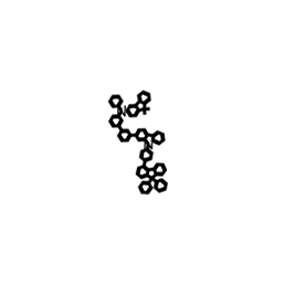 CC1(C)c2ccccc2-c2cc(N(c3ccccc3)c3cccc(-c4cccc(-c5ccc6c7ccccc7n(-c7ccc(-c8cccc9c8-c8ccccc8C9(c8ccccc8)c8ccccc8)cc7)c6c5)c4)c3)ccc21